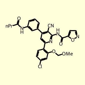 C[CH]CC(=O)Nc1cccc(-c2cc(-c3ccc(Cl)cc3OCOC)nc(NC(=O)c3ccno3)c2C#N)c1